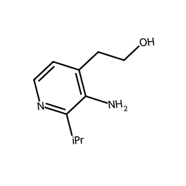 CC(C)c1nccc(CCO)c1N